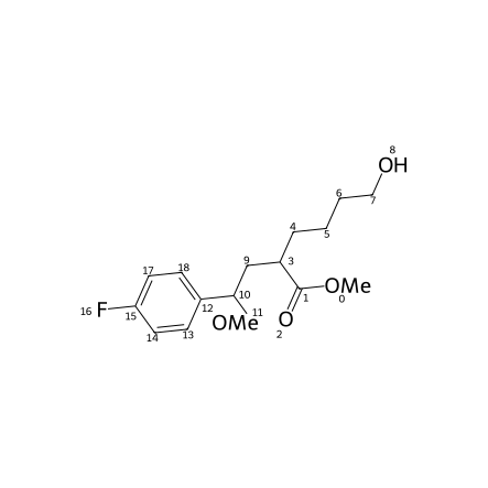 COC(=O)C(CCCCO)CC(OC)c1ccc(F)cc1